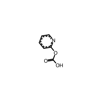 O=C(O)Oc1ccccn1